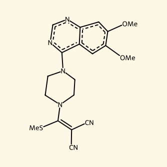 COc1cc2ncnc(N3CCN(C(SC)=C(C#N)C#N)CC3)c2cc1OC